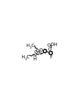 CCCCNC(=O)CN(Cc1cccc(-c2cc(F)ccc2OCC(=O)O)c1)C(=O)OCCCC